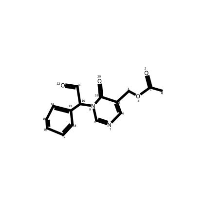 CC(=O)OCc1cncn(C(C=O)c2ccccc2)c1=O